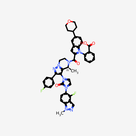 C[C@H]1c2c(-n3ccn(-c4ccc5c(cnn5C)c4F)c3=O)c(-c3ccc(F)cc3)nn2CCN1C(=O)c1cc2cc(C3CCOCC3)ccc2n1-c1ccccc1C(=O)O